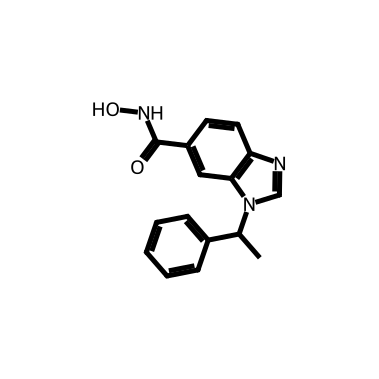 CC(c1ccccc1)n1cnc2ccc(C(=O)NO)cc21